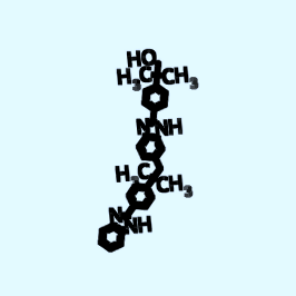 CC(C)(CO)c1ccc(-c2nc3ccc(CC(C)(C)c4ccc(-c5nc6ccccc6[nH]5)cc4)cc3[nH]2)cc1